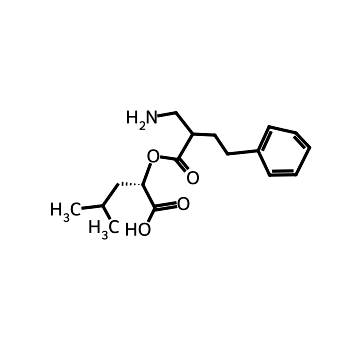 CC(C)C[C@H](OC(=O)C(CN)CCc1ccccc1)C(=O)O